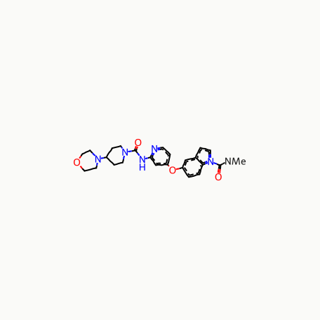 CNC(=O)n1ccc2cc(Oc3ccnc(NC(=O)N4CCC(N5CCOCC5)CC4)c3)ccc21